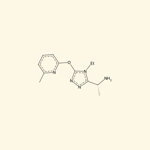 CCn1c(Oc2cccc(C)n2)nnc1[C@@H](C)N